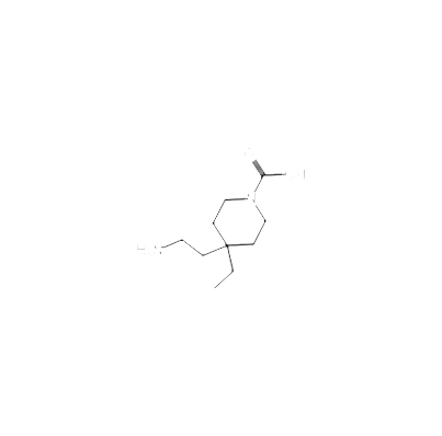 CCC1(CCN)CCN(C(=O)O)CC1